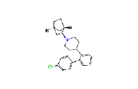 Clc1ccc(-c2ccccc2C2CCN([C@H]3C[C@H]4CC[C@H]3C4)CC2)cc1